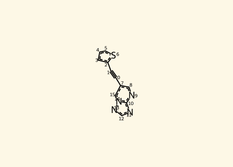 C(#Cc1cccs1)c1cnc2ncnn2c1